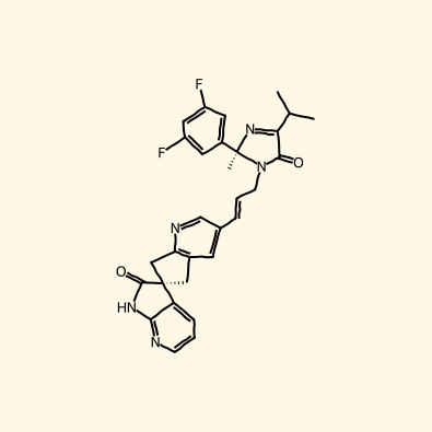 CC(C)C1=N[C@](C)(c2cc(F)cc(F)c2)N(C/C=C/c2cnc3c(c2)C[C@@]2(C3)C(=O)Nc3ncccc32)C1=O